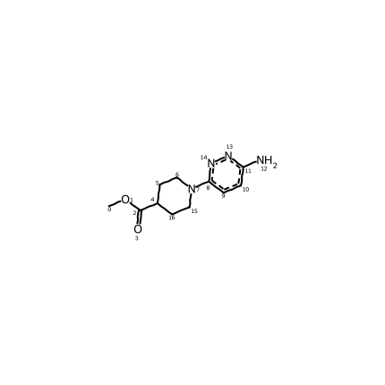 COC(=O)C1CCN(c2ccc(N)nn2)CC1